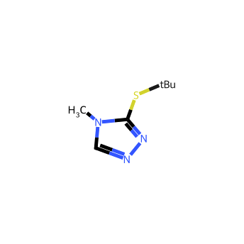 Cn1cnnc1SC(C)(C)C